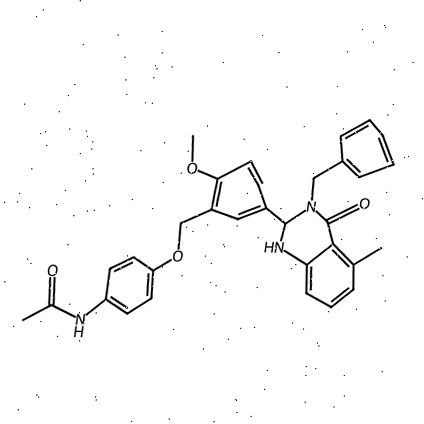 COc1ccc(C2Nc3cccc(C)c3C(=O)N2Cc2ccccc2)cc1COc1ccc(NC(C)=O)cc1